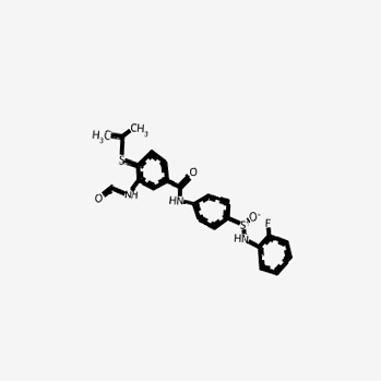 CC(C)Sc1ccc(C(=O)Nc2ccc([S+]([O-])Nc3ccccc3F)cc2)cc1NC=O